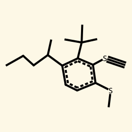 C#Sc1c(SC)ccc(C(C)CCC)c1C(C)(C)C